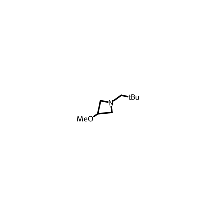 COC1CN(CC(C)(C)C)C1